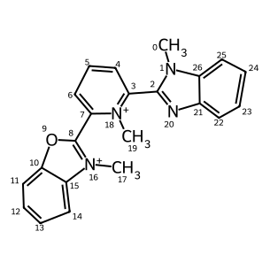 Cn1c(-c2cccc(-c3oc4ccccc4[n+]3C)[n+]2C)nc2ccccc21